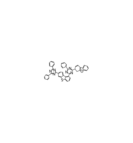 C1=CC(c2nc(-c3ccccc3)nc(-c3cccc4sc5cc(-c6nc(-c7ccccc7)nc(-c7ccccc7)n6)ccc5c34)n2)Cc2oc3ccccc3c21